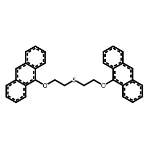 c1ccc2c(OCCSCCOc3c4ccccc4cc4ccccc34)c3ccccc3cc2c1